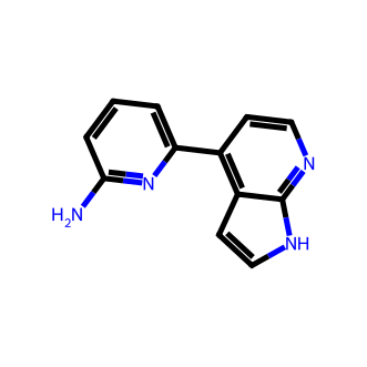 Nc1cccc(-c2ccnc3[nH]ccc23)n1